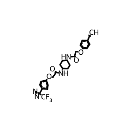 C#Cc1ccc(OCC(=O)N[C@H]2CC[C@H](NC(=O)COc3ccc(C4(C(F)(F)F)N=N4)cc3)CC2)cc1